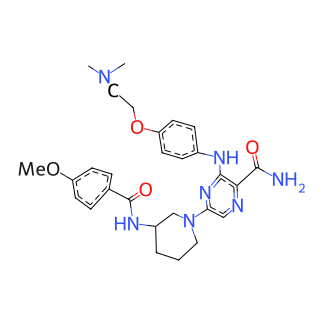 COc1ccc(C(=O)NC2CCCN(c3cnc(C(N)=O)c(Nc4ccc(OCCN(C)C)cc4)n3)C2)cc1